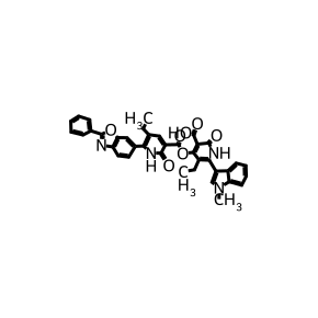 CCc1cc(C(=O)Oc2c(CC)c(-c3cn(C)c4ccccc34)[nH]c(=O)c2C(=O)O)c(=O)[nH]c1-c1ccc2nc(-c3ccccc3)oc2c1